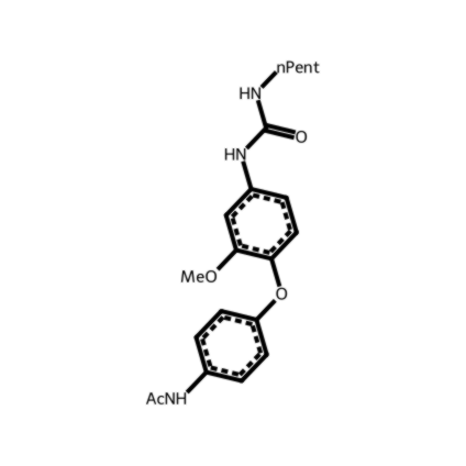 CCCCCNC(=O)Nc1ccc(Oc2ccc(NC(C)=O)cc2)c(OC)c1